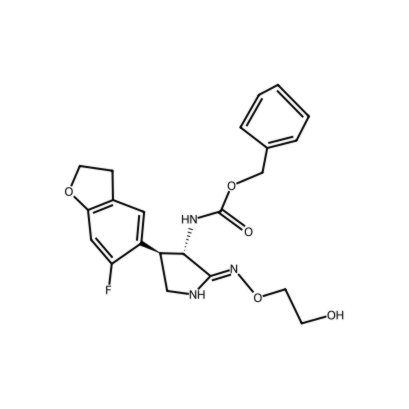 O=C(N[C@@H]1/C(=N/OCCO)NC[C@H]1c1cc2c(cc1F)OCC2)OCc1ccccc1